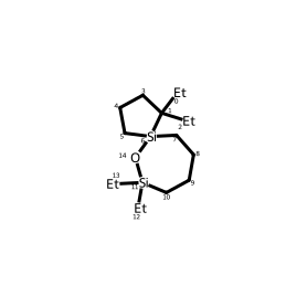 CCC1(CC)CCC[Si]12CCCC[Si](CC)(CC)O2